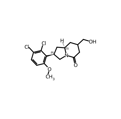 COc1ccc(Cl)c(Cl)c1[C@H]1C[C@H]2CC(CO)CC(=O)N2C1